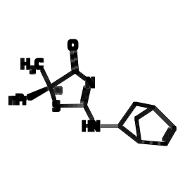 CCC[C@]1(C)SC(NC2CC3C=CC2C3)=NC1=O